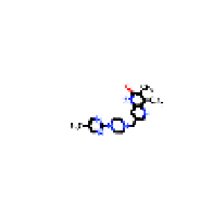 Cc1c(C(F)(F)F)c(=O)[nH]c2cc(CN3CCN(c4ncc(C(F)(F)F)cn4)CC3)cnc12